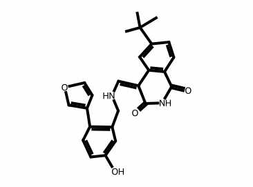 CC(C)(C)c1ccc2c(c1)C(=CNCc1cc(O)ccc1-c1ccoc1)C(=O)NC2=O